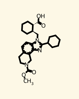 COC(=O)N1CCc2ccc3c(nc(C4CCCCC4)n3C[C@H]3CCCC[C@@H]3C(=O)O)c2C1